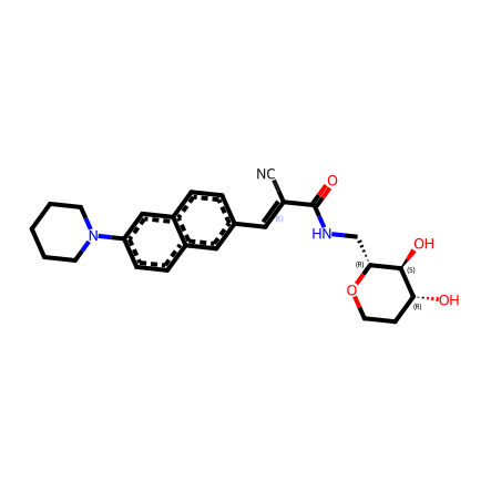 N#C/C(=C\c1ccc2cc(N3CCCCC3)ccc2c1)C(=O)NC[C@H]1OCC[C@@H](O)[C@@H]1O